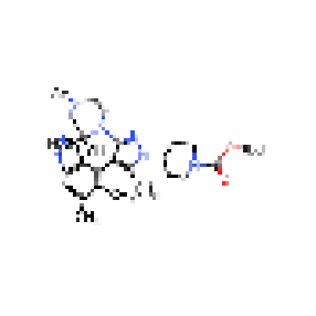 CC(=O)N1CCN(c2nn(C3CCN(C(=O)OC(C)(C)C)CC3)c(C)c2-c2c(C)c(C)cc3[nH]ncc23)C(C)(C)C1